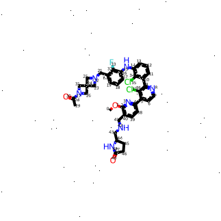 COc1nc(-c2ccnc(-c3cccc(Nc4cccc(CN5CC6(C5)CN(C(C)=O)C6)c4F)c3Cl)c2Cl)ccc1CNCC1CCC(=O)N1